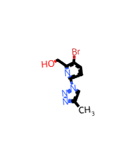 Cc1cn(-c2ccc(Br)c(CO)n2)nn1